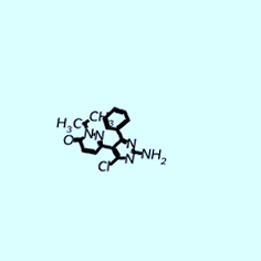 CC(C)n1nc(-c2c(Cl)nc(N)nc2-c2ccccc2)ccc1=O